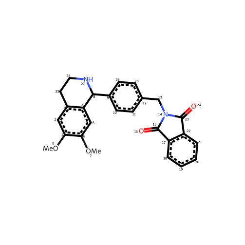 COc1cc2c(cc1OC)C(c1ccc(CN3C(=O)c4ccccc4C3=O)cc1)NCC2